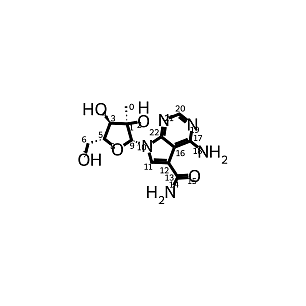 C[C@@]1(O)[C@H](O)[C@@H](CO)O[C@H]1n1cc(C(N)=O)c2c(N)ncnc21